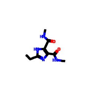 CCc1nc(C(=O)NC)c(C(=O)NC)[nH]1